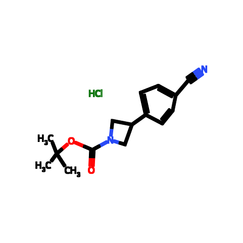 CC(C)(C)OC(=O)N1CC(c2ccc(C#N)cc2)C1.Cl